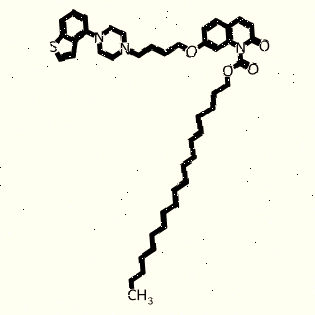 CCCCCCCCCCCCCCCCCCCOC(=O)n1c(=O)ccc2ccc(OCCCCN3CCN(c4cccc5sccc45)CC3)cc21